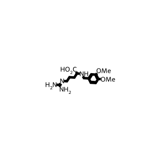 COc1ccc(CNC(CCCN=C(N)N)C(=O)O)cc1OC